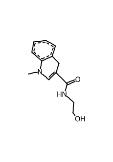 CN1C=C(C(=O)NCCO)Cc2ccccc21